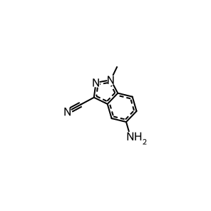 Cn1nc(C#N)c2cc(N)ccc21